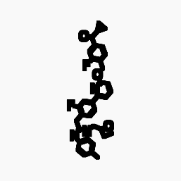 Cc1ccc2nc(Cc3ccc(-c4cccc(OCc5ccc(C(=O)C6CC6)cc5F)n4)cc3F)n(CC3CCO3)c2c1